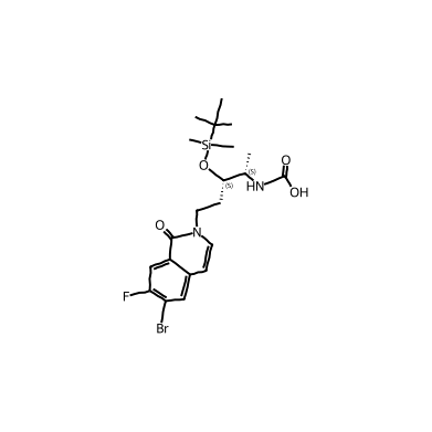 C[C@H](NC(=O)O)[C@H](CCn1ccc2cc(Br)c(F)cc2c1=O)O[Si](C)(C)C(C)(C)C